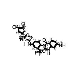 CNc1ccc2c(=O)n(-c3ccc(NC(=O)NS(=O)(=O)c4cc(Cl)c(Cl)s4)cc3C(F)(F)F)c(=O)[nH]c2c1